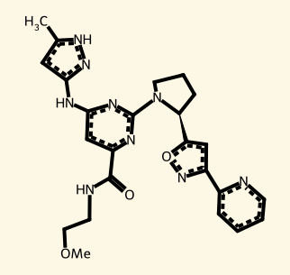 COCCNC(=O)c1cc(Nc2cc(C)[nH]n2)nc(N2CCC[C@H]2c2cc(-c3ccccn3)no2)n1